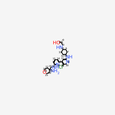 C[C@@H](O)CN[C@H]1CC[C@H](Nc2cc(-c3cccc(NCC4(N)CCOCC4)n3)c(Cl)cn2)CC1